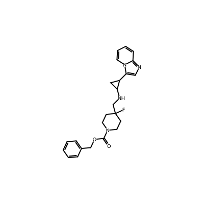 O=C(OCc1ccccc1)N1CCC(F)(CNC2CC2c2cnc3ccccn23)CC1